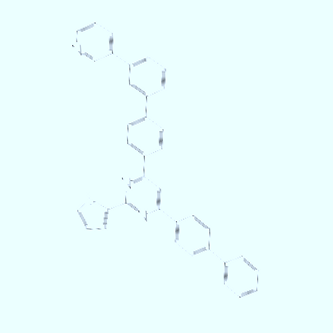 c1ccc(-c2ccc(-c3cc(-c4ccc(-c5cccc(-c6cccnc6)c5)cc4)nc(-c4cccs4)n3)cc2)cc1